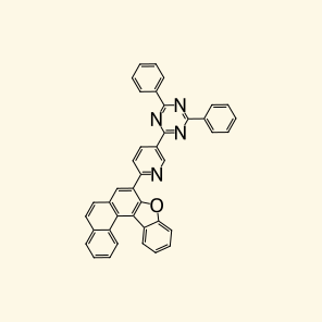 c1ccc(-c2nc(-c3ccccc3)nc(-c3ccc(-c4cc5ccc6ccccc6c5c5c4oc4ccccc45)nc3)n2)cc1